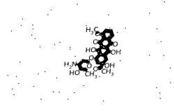 COc1cccc2c1C(=O)c1c(O)c3c(c(O)c1C2=O)C[C@](O)(C(C)=O)C[C@@H]3O[C@H]1C[C@H](N)[C@H](O)[C@H](C)O1